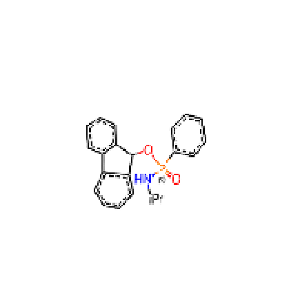 CC(C)N[P@@](=O)(OC1c2ccccc2-c2ccccc21)c1ccccc1